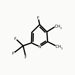 Cc1nc(C(F)(F)F)cc(F)c1C